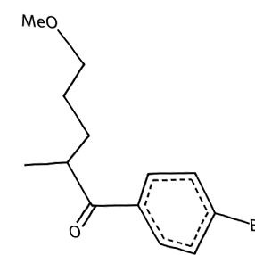 COCCCC(C)C(=O)c1ccc(Br)cc1